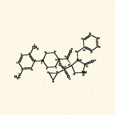 Cc1ccc(C)c(N2CCN(C(=O)[C@@]3(S(=O)(=O)C4CC4)CNC(=O)N3Cc3ccccc3)CC2)c1